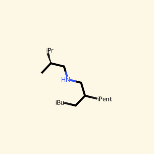 CCCC(C)C(CNC[C@@H](C)C(C)C)CC(C)CC